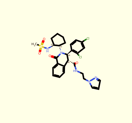 CS(=O)(=O)N[C@H]1CCCC[C@@H]1N1C(=O)c2ccccc2[C@@H](C(=O)NCCn2cccn2)[C@@H]1c1ccc(Cl)cc1Cl